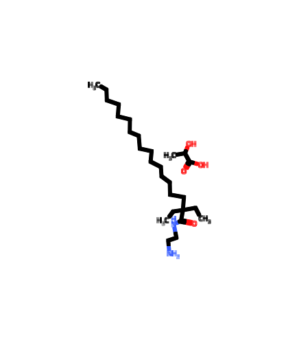 CC(O)C(=O)O.CCCCCCCCCCCCCCCCC(CC)(CC)C(=O)NCCN